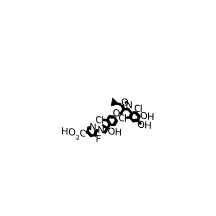 O=C(O)c1cnc(N2CC(O)(c3ccc(OCc4c(-c5c(Cl)cc(O)c(O)c5Cl)noc4C4CC4)cc3Cl)C2)c(F)c1